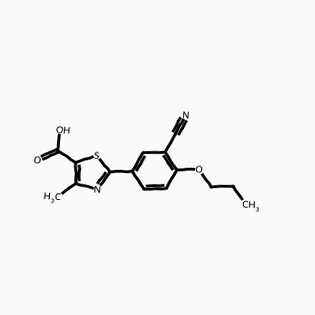 CCCOc1ccc(-c2nc(C)c(C(=O)O)s2)cc1C#N